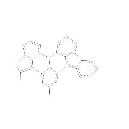 Cc1cc2c3c(c1)-n1c4ccccc4c4cccc(c41)B3c1cccc3nc(C)n-2c13